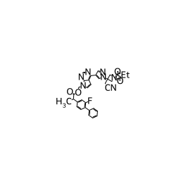 CCS(=O)(=O)N1CC(CC#N)(n2cc(-c3ncnc4c3ccn4COC(=O)C(C)c3ccc(-c4ccccc4)c(F)c3)cn2)C1